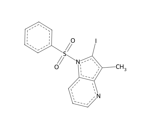 Cc1c(I)n(S(=O)(=O)c2ccccc2)c2cccnc12